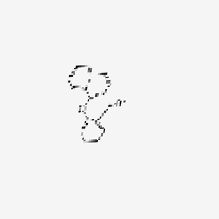 Br[CH]c1ccccc1Oc1cccc2ccccc12